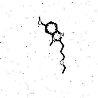 CCOCCCc1nc2ccc(OC)cc2n1C